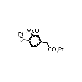 CCOC(=O)Cc1ccc(OCC)c(OC)c1